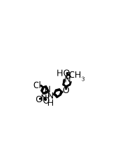 CB(O)N1CCC(Oc2ccc(Nc3ncc(Cl)cc3[N+](=O)[O-])cc2)CC1